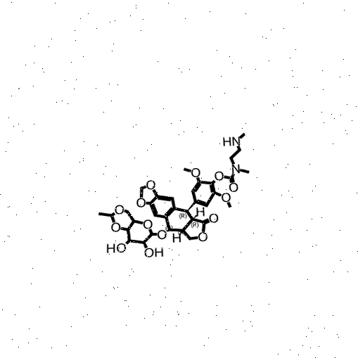 CNCCN(C)C(=O)Oc1c(OC)cc([C@@H]2c3cc4c(cc3[C@@H](OC3OC5COC(C)OC5C(O)C3O)[C@H]3COC(=O)[C@H]23)OCO4)cc1OC